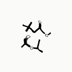 CC(=O)OC(C)C.COC(=O)CC(C)(C)C